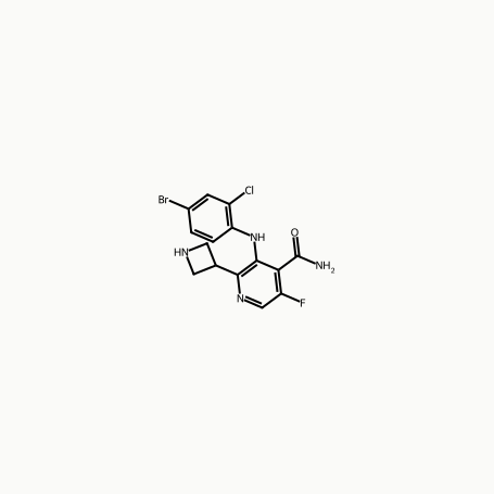 NC(=O)c1c(F)cnc(C2CNC2)c1Nc1ccc(Br)cc1Cl